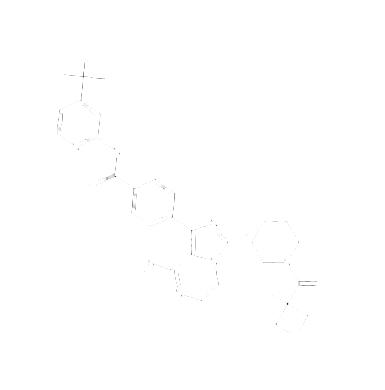 CC1(C(=O)N2CCC[C@@H](c3nc(-c4ccc(C(=O)Nc5cc(C(F)(F)F)ccn5)cc4)c4c(N)nccn34)C2)COC1